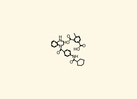 Cc1ccc(C(=O)O)cc1C(=O)O.O=C(Nc1ccc(C(=O)N2CCNc3ccccc32)cc1)C1CCCCC1